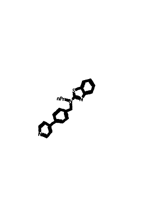 CCCN(Cc1ccc(-c2ccncc2)cc1)c1nc2ccccc2s1